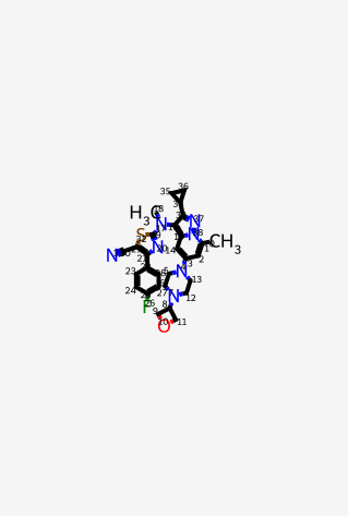 Cc1cc(N2CCN(C3COC3)CC2)cc2c(N(C)c3nc(-c4ccc(F)cc4)c(C#N)s3)c(C3CC3)nn12